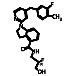 Cc1ccc(Cc2ccnc(N3CCc4c(C(=O)NC[C@@H](F)CO)cccc43)c2)cc1F